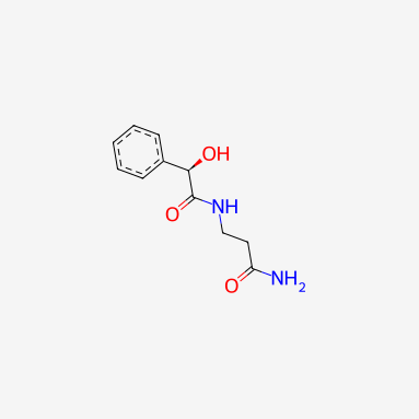 NC(=O)CCNC(=O)[C@H](O)c1ccccc1